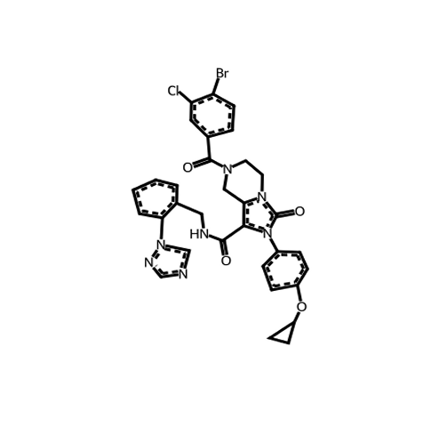 O=C(NCc1ccccc1-n1cncn1)c1c2n(c(=O)n1-c1ccc(OC3CC3)cc1)CCN(C(=O)c1ccc(Br)c(Cl)c1)C2